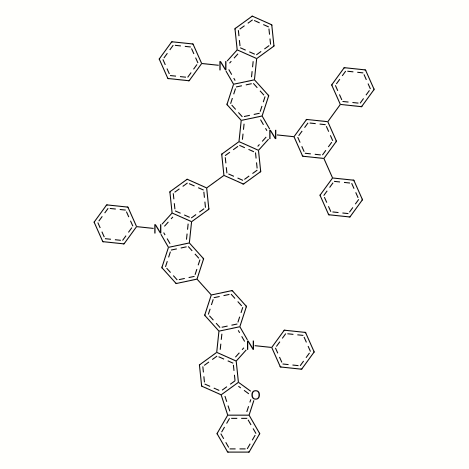 c1ccc(-c2cc(-c3ccccc3)cc(-n3c4ccc(-c5ccc6c(c5)c5cc(-c7ccc8c(c7)c7ccc9c%10ccccc%10oc9c7n8-c7ccccc7)ccc5n6-c5ccccc5)cc4c4cc5c(cc43)c3ccccc3n5-c3ccccc3)c2)cc1